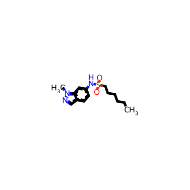 CCCCCCS(=O)(=O)Nc1ccc2cnn(C)c2c1